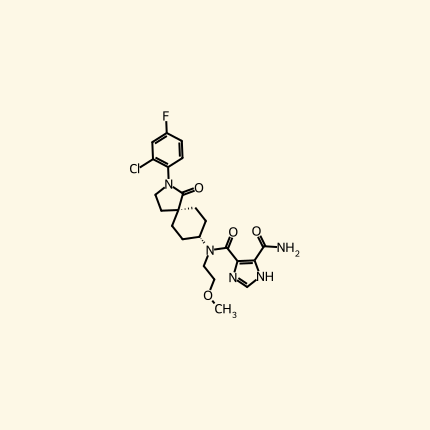 COCCN(C(=O)c1nc[nH]c1C(N)=O)[C@H]1CC[C@@]2(CCN(c3ccc(F)cc3Cl)C2=O)CC1